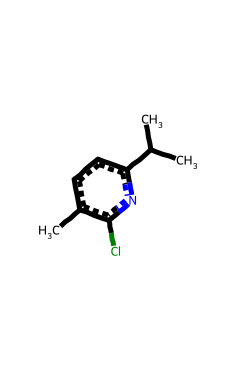 Cc1ccc(C(C)C)nc1Cl